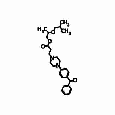 CC(C)COC(C)COC(=O)CCN1CCN(c2ccc(C(=O)c3ccccc3)cc2)CC1